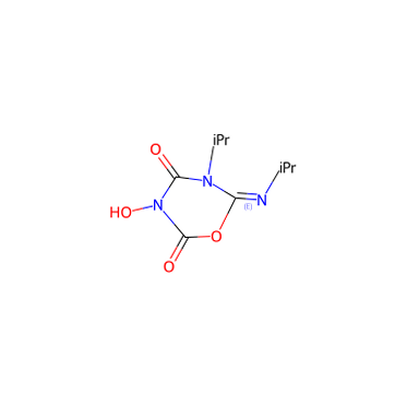 CC(C)/N=c1/oc(=O)n(O)c(=O)n1C(C)C